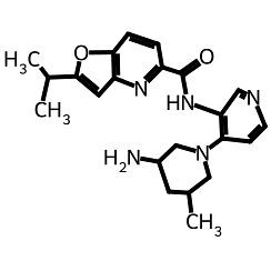 CC1CC(N)CN(c2ccncc2NC(=O)c2ccc3oc(C(C)C)cc3n2)C1